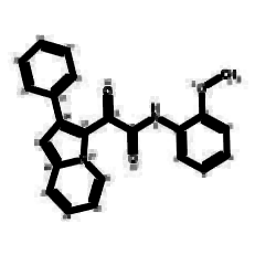 COc1ccccc1NC(=O)C(=O)c1c(-c2ccccc2)cc2ccccn12